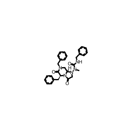 CN(C(=O)NCc1ccccc1)N1CC(=O)N2[C@@H](Cc3ccccc3)C(=O)N(Cc3ccccc3)C[C@@H]21